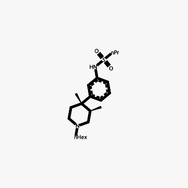 CCCCCCN1CC[C@](C)(c2cccc(NS(=O)(=O)CCC)c2)[C@@H](C)C1